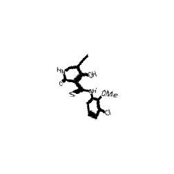 COc1c(Cl)cccc1NC(=S)C1=C(O)C(C)CNC1=O